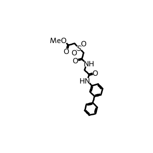 COC(=O)CS(=O)(=O)CC(=O)NCC(=O)Nc1cccc(-c2ccccc2)c1